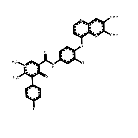 COc1cc2nccc(Oc3ccc(NC(=O)c4cn(C)c(C)c(-c5ccc(F)cc5)c4=O)cc3Cl)c2nc1OC